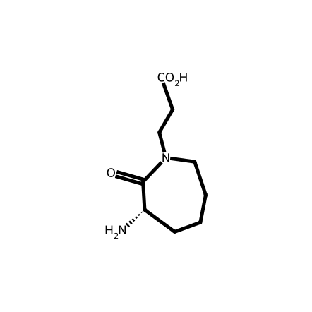 N[C@H]1CCCCN(CCC(=O)O)C1=O